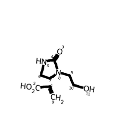 C=CC(=O)O.O=C1NCCN1CCO